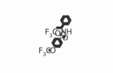 O=S(=O)(NC(CC(F)(F)F)c1ccccc1)c1ccc(OC(F)(F)F)cc1